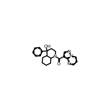 O=C(c1cnn2cccnc12)N1CCC(O)(c2ccccc2)C2CCCCC21